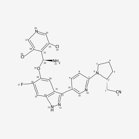 N#CC[C@H]1CCCN1c1ccc(-c2n[nH]c3cc(F)c(O[C@H](N)c4c(Cl)cncc4Cl)cc23)cn1